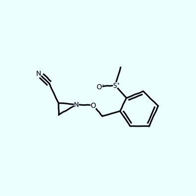 C[S+]([O-])c1ccccc1CON1CC1C#N